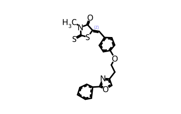 CN1C(=O)/C(=C/c2ccc(OCCc3coc(-c4ccccc4)n3)cc2)SC1=S